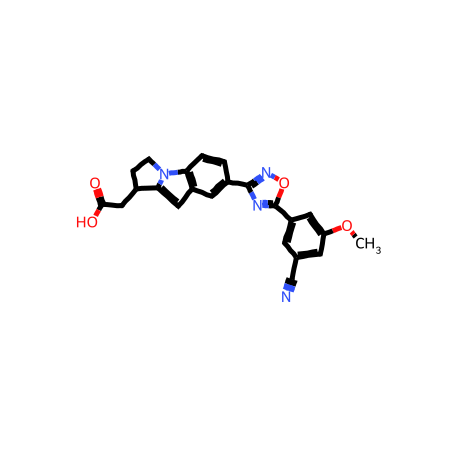 COc1cc(C#N)cc(-c2nc(-c3ccc4c(c3)cc3n4CCC3CC(=O)O)no2)c1